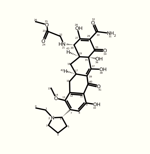 CCN1CCC[C@H]1c1cc(O)c2c(c1OC)C[C@H]1C[C@H]3[C@H](NCC(=O)OC)C(O)=C(C(N)=O)C(=O)[C@@]3(O)C(O)=C1C2=O